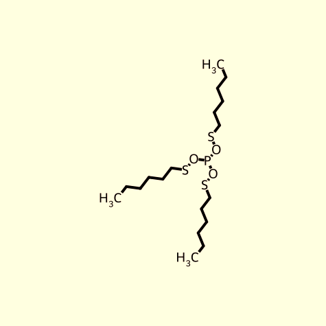 CCCCCCSOP(OSCCCCCC)OSCCCCCC